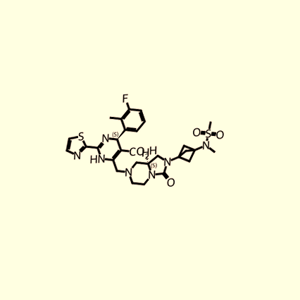 Cc1c(F)cccc1[C@@H]1N=C(c2nccs2)NC(CN2CCN3C(=O)N(C45CC(N(C)S(C)(=O)=O)(C4)C5)C[C@@H]3C2)=C1C(=O)O